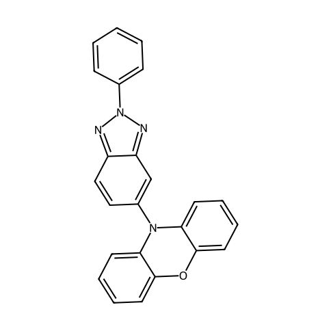 c1ccc(-n2nc3ccc(N4c5ccccc5Oc5ccccc54)cc3n2)cc1